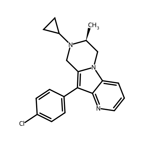 C[C@H]1Cn2c(c(-c3ccc(Cl)cc3)c3ncccc32)CN1C1CC1